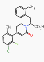 Cc1ccccc1CC(C(=O)O)N1CCC(c2c(C#N)ccc(Cl)c2F)=CC1=O